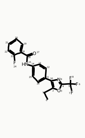 CCc1oc(C(F)(F)F)nc1-c1ccc(NC(=O)c2ccccc2F)cc1